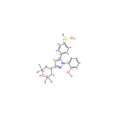 COc1ccccc1-n1nc(C2CC(C)(C)OC(C)(C)C2)cc1-c1ccc([S+](C)[O-])cc1